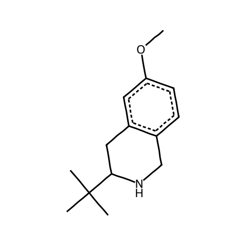 COc1ccc2c(c1)CC(C(C)(C)C)NC2